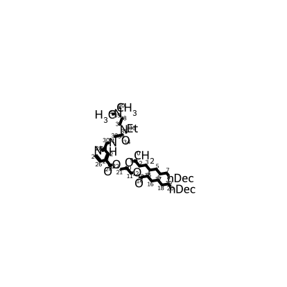 C=C(CCCCCCCCCCCCCCCC)OC(COC(=O)CCCCCCCCCCCCCCC)COC(=O)c1ccnc(CNCC(=O)N(CC)CCN(C)C)c1